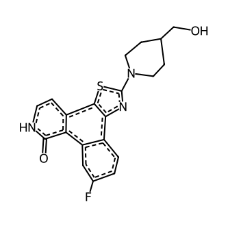 O=c1[nH]ccc2c3sc(N4CCC(CO)CC4)nc3c3ccc(F)cc3c12